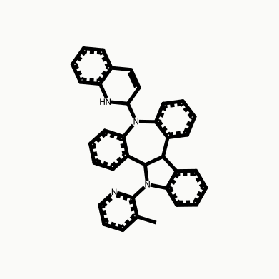 Cc1cccnc1N1c2ccccc2C2c3ccccc3N(C3C=Cc4ccccc4N3)c3ccccc3C21